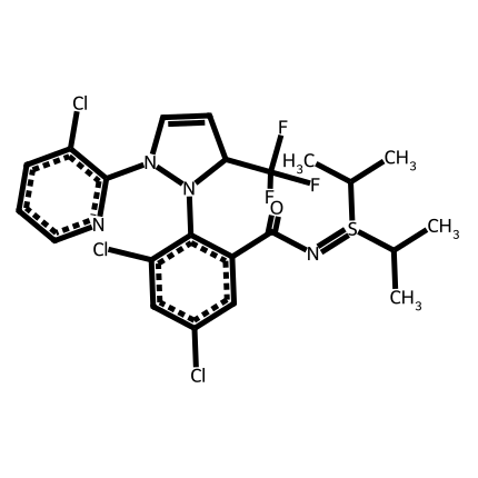 CC(C)S(=NC(=O)c1cc(Cl)cc(Cl)c1N1C(C(F)(F)F)C=CN1c1ncccc1Cl)C(C)C